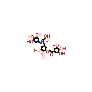 O=C(O)CN(Cc1cc(O)c(O)c(O)c1)Cc1cc(O)c(O)c(OCC(=O)c2cc(O)c(O)c(O)c2)c1